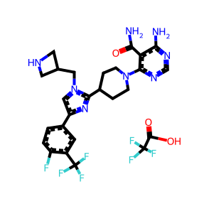 NC(=O)c1c(N)ncnc1N1CCC(c2nc(-c3ccc(F)c(C(F)(F)F)c3)cn2CC2CNC2)CC1.O=C(O)C(F)(F)F